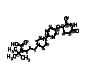 CC(C)(C)N(CCCN1CCN(c2ncc(OC3CCC(=O)NC3=O)cn2)CC1)C(=O)O